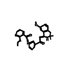 CCSc1ncccc1C(=O)Nc1cccc(C(=O)/C=C2\NC(C)(C)Cc3ccc(OC)cc32)c1